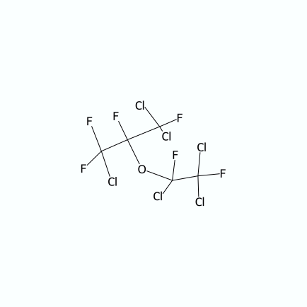 FC(F)(Cl)C(F)(OC(F)(Cl)C(F)(Cl)Cl)C(F)(Cl)Cl